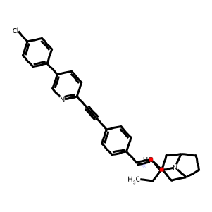 CCC1(O)CC2CCC(C1)N2C/C=C/c1ccc(C#Cc2ccc(-c3ccc(Cl)cc3)cn2)cc1